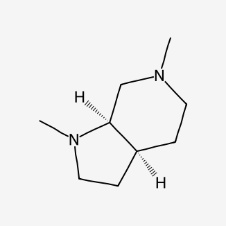 CN1CC[C@H]2CCN(C)[C@H]2C1